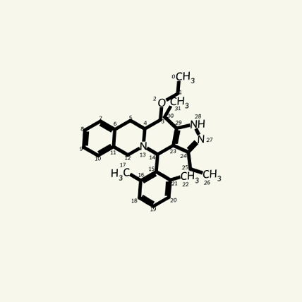 CCOCC1Cc2ccccc2CN1C(c1c(C)cccc1C)c1c(CC)n[nH]c1CC